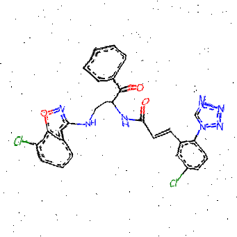 O=C(/C=C/c1cc(Cl)ccc1-n1cnnn1)NC(CNc1noc2c(Cl)cccc12)C(=O)c1ccccc1